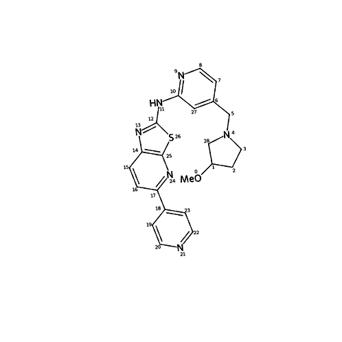 COC1CCN(Cc2ccnc(Nc3nc4ccc(-c5ccncc5)nc4s3)c2)C1